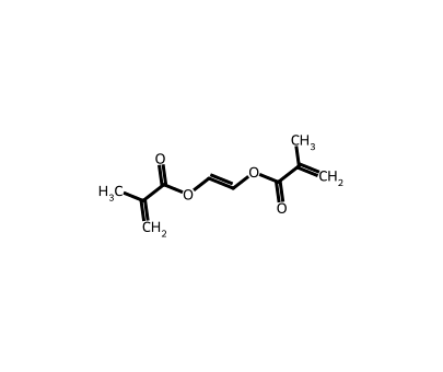 C=C(C)C(=O)OC=COC(=O)C(=C)C